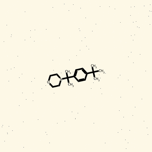 CC(C)(C)c1ccc(C(C)(C)N2CCOCC2)cc1